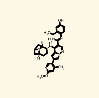 CCc1cc(O)ccc1/N=C(\N)c1cnn2cc(-c3cnc(OC)cc3C)cc2c1N[C@@H]1CC[C@@H]2CC3C[C@H]1N32